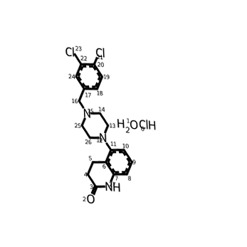 Cl.O.O=C1CCc2c(cccc2N2CCN(Cc3ccc(Cl)c(Cl)c3)CC2)N1